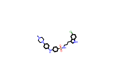 CN1CCN(c2ccc(Nc3ccc(S(=O)(=O)NCCCc4c[nH]c5ccc(Cl)cc45)cc3)cc2)CC1